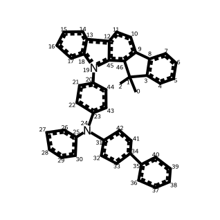 CC1(C)c2ccccc2-c2ccc3c4ccccc4n(-c4ccc(N(c5ccccc5)c5ccc(-c6ccccc6)cc5)cc4)c3c21